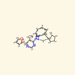 N#Cc1c(NCC2(c3ccccc3)CCCC2)ncnc1-c1ccco1